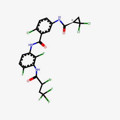 O=C(Nc1ccc(F)c(NC(=O)C(Br)CC(F)(F)F)c1F)c1cc(NC(=O)[C@H]2CC2(Cl)Cl)ccc1Cl